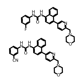 N#Cc1cccc(NC(=O)Nc2ccc(-c3ccc(CN4CCOCC4)nc3)c3ccccc23)c1.O=C(Nc1cccc(F)c1)Nc1ccc(-c2ccc(CN3CCOCC3)nc2)c2ccccc12